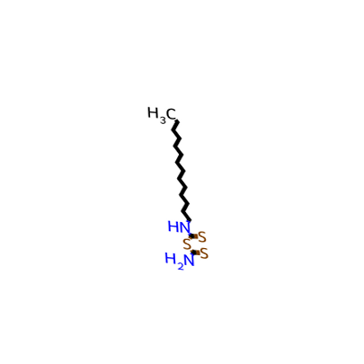 CCCCCCCCCCCCCCNC(=S)SC(N)=S